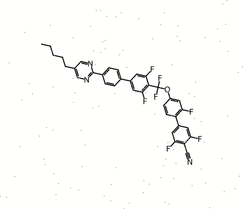 CCCCCc1cnc(-c2ccc(-c3cc(F)c(C(F)(F)Oc4ccc(-c5cc(F)c(C#N)c(F)c5)c(F)c4)c(F)c3)cc2)nc1